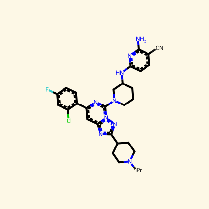 CC(C)N1CCC(c2nc3cc(-c4ccc(F)cc4Cl)nc(N4CCCC(Nc5ccc(C#N)c(N)n5)C4)n3n2)CC1